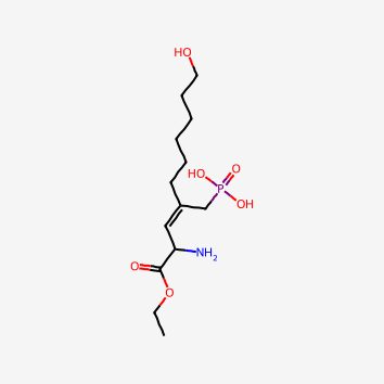 CCOC(=O)C(N)C=C(CCCCCCO)CP(=O)(O)O